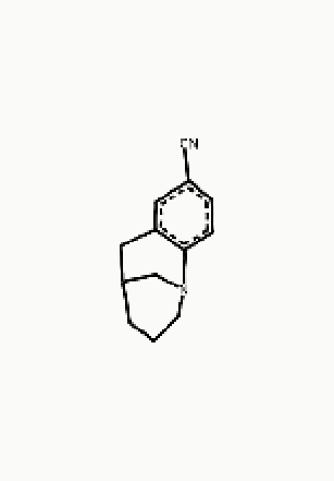 N#Cc1ccc2c(c1)CC1CCCN2C1